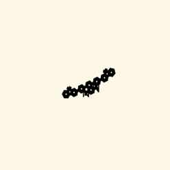 CN1c2cc(-c3ccc4c(c3)C(C)(C)c3ccccc3-4)ccc2-c2ccc3c4c(ccc1c24)N(C)c1cc(-c2ccc4c(c2)C(C)(C)c2ccccc2-4)ccc1-3